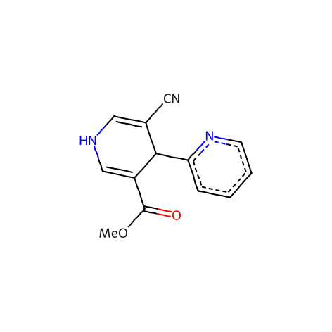 COC(=O)C1=CNC=C(C#N)C1c1ccccn1